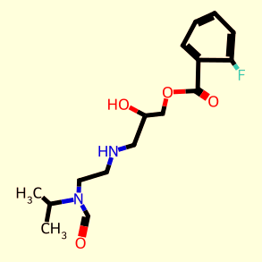 CC(C)N(C=O)CCNCC(O)COC(=O)c1ccccc1F